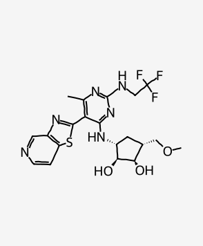 COC[C@H]1C[C@@H](Nc2nc(NCC(F)(F)F)nc(C)c2-c2nc3cnccc3s2)[C@H](O)[C@@H]1O